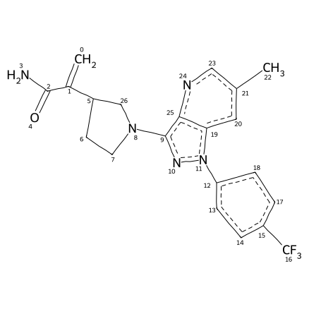 C=C(C(N)=O)C1CCN(c2nn(-c3ccc(C(F)(F)F)cc3)c3cc(C)cnc23)C1